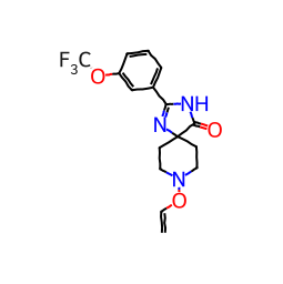 C=CON1CCC2(CC1)N=C(c1cccc(OC(F)(F)F)c1)NC2=O